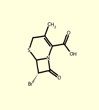 CC1=C(C(=O)O)N2C(=O)[C@H](Br)C2SC1